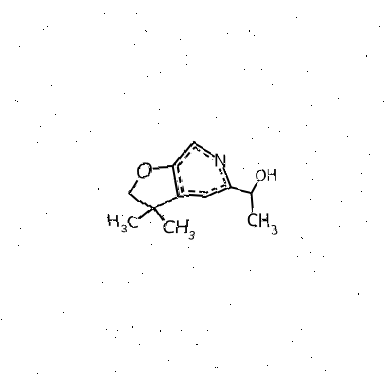 CC(O)c1cc2c(cn1)OCC2(C)C